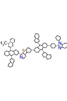 CC1C=C(c2c3ccccc3c(-c3ccc4ccccc4c3)c3cc(-c4nccc5c4sc4ccc(-c6ccc7c(-c8ccc9ccccc9c8)c8cc(-c9ccc(-c%10nc%11ccccc%11n%10-c%10ccccc%10)cc9)ccc8c(-c8ccc9ccccc9c8)c7c6)cc45)ccc23)C=C2C=CC=CC21